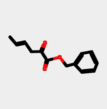 C/C=C/CC(=O)C(=O)OCc1ccccc1